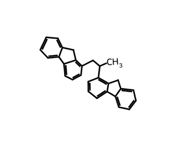 CC(Cc1cccc2c1Cc1ccccc1-2)c1cccc2c1Cc1ccccc1-2